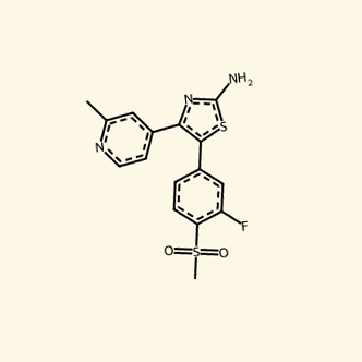 Cc1cc(-c2nc(N)sc2-c2ccc(S(C)(=O)=O)c(F)c2)ccn1